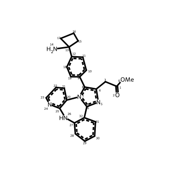 COC(=O)Cc1nc2n(c1-c1ccc(C3(N)CCC3)cc1)-c1cccnc1Nc1ccccc1-2